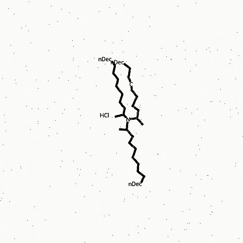 CCCCCCCCCCCCCCCCCC(C)N(C(C)CCCCCCCCCCCCCCCCC)C(C)CCCCCCCCCCCCCCCCC.Cl